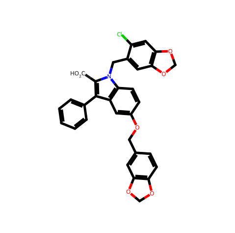 O=C(O)c1c(-c2ccccc2)c2cc(OCc3ccc4c(c3)OCO4)ccc2n1Cc1cc2c(cc1Cl)OCO2